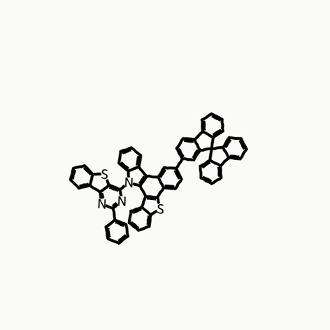 c1ccc(-c2nc(-n3c4ccccc4c4c5cc(-c6ccc7c(c6)C6(c8ccccc8-c8ccccc86)c6ccccc6-7)ccc5c5sc6ccccc6c5c43)c3sc4ccccc4c3n2)cc1